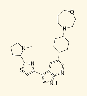 CN1CCCC1c1nc(-c2c[nH]c3ncc([C@H]4CC[C@@H](N5CCCOCC5)CC4)cc23)cs1